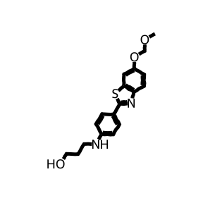 COCOc1ccc2nc(-c3ccc(NCCCO)cc3)sc2c1